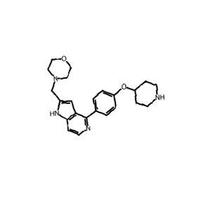 c1cc2[nH]c(CN3CCOCC3)cc2c(-c2ccc(OC3CCNCC3)cc2)n1